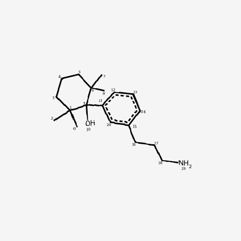 CC1(C)CCCC(C)(C)C1(O)c1cccc(CCCN)c1